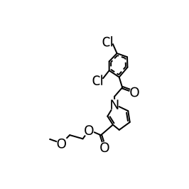 COCCOC(=O)C1=CN(CC(=O)c2ccc(Cl)cc2Cl)C=CC1